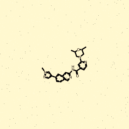 CC1CN(c2cc(C(=O)Nc3cc4cc(-c5cnn(C)c5)ccc4cn3)ccn2)CC(C)O1